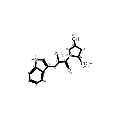 NC(Cc1c[nH]c2ccccc12)C(=O)N1CC(O)CC1C(=O)O